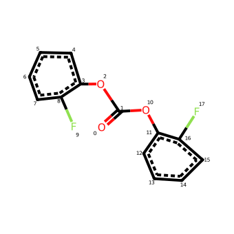 O=C(Oc1ccccc1F)Oc1ccccc1F